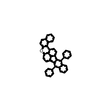 c1ccc(-c2c3ccccc3c(-c3ccccc3)c3c4ccc5c6c(ccc7ccccc76)oc6ccc(c23)c4c65)cc1